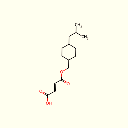 CC(C)CC1CCC(COC(=O)/C=C/C(=O)O)CC1